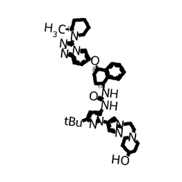 C[C@H]1CCCCN1c1nnc2ccc(O[C@@H]3CC[C@H](NC(=O)Nc4cc(C(C)(C)C)nn4-c4cnn(CCN5CCC(O)CC5)c4)c4ccccc43)cn12